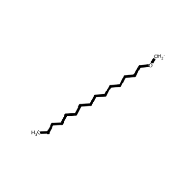 [CH2]OCCCCCCCCCCCCCCC